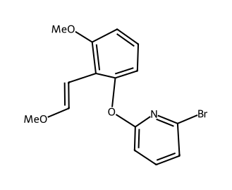 CO/C=C/c1c(OC)cccc1Oc1cccc(Br)n1